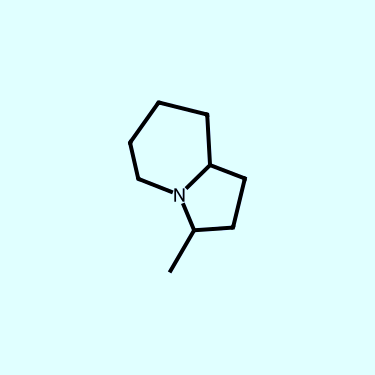 CC1CCC2CCCCN12